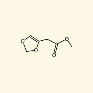 COC(=O)CC1=COCO1